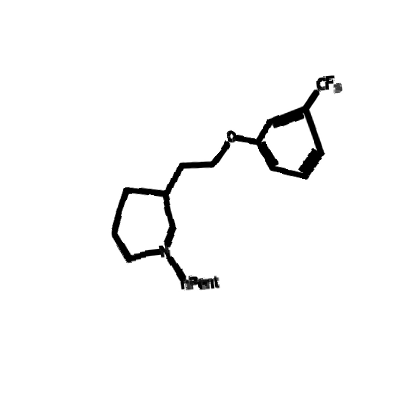 CCCCCN1CCCC(CCOc2cccc(C(F)(F)F)c2)C1